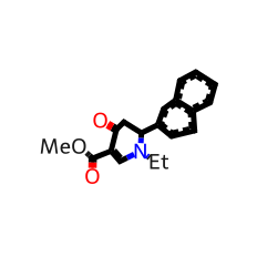 CCN1C=C(C(=O)OC)C(=O)CC1c1ccc2ccccc2c1